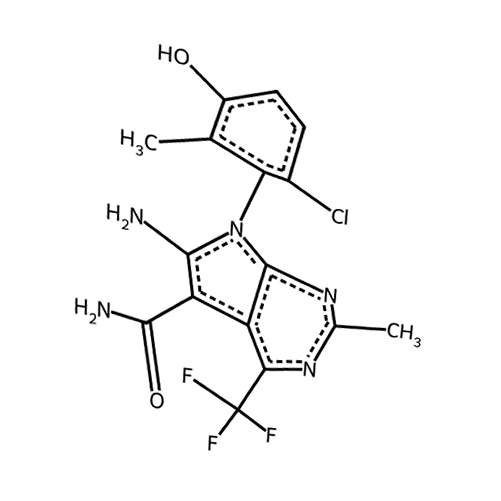 Cc1nc(C(F)(F)F)c2c(C(N)=O)c(N)n(-c3c(Cl)ccc(O)c3C)c2n1